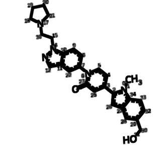 Cn1c(-c2ccn(-c3ccc4c(cnn4CCN4CCCC4)c3)c(=O)c2)cc2cc(CO)ccc21